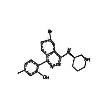 Cc1ccc(-c2nnc(N[C@@H]3CCCNC3)c3cc(Br)ccc23)c(O)c1